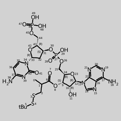 CC(CSSC(C)(C)C)C(=O)O[C@H]1[C@@H](O)[C@H](n2cnc3c(N)ncnc32)O[C@@H]1COP(=O)(O)O[C@H]1C[C@H](n2ccc(N)nc2=O)O[C@@H]1COP(=O)(O)O